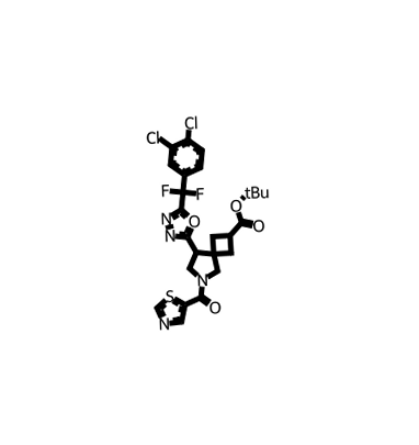 CC(C)(C)OC(=O)C1CC2(C1)CN(C(=O)c1cncs1)CC2c1nnc(C(F)(F)c2ccc(Cl)c(Cl)c2)o1